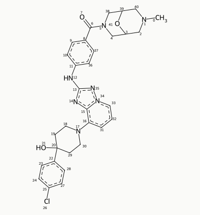 CN1CC2CN(C(=O)c3ccc(Nc4nc5c(N6CCC(O)(c7ccc(Cl)cc7)CC6)cccn5n4)cc3)CC(C1)O2